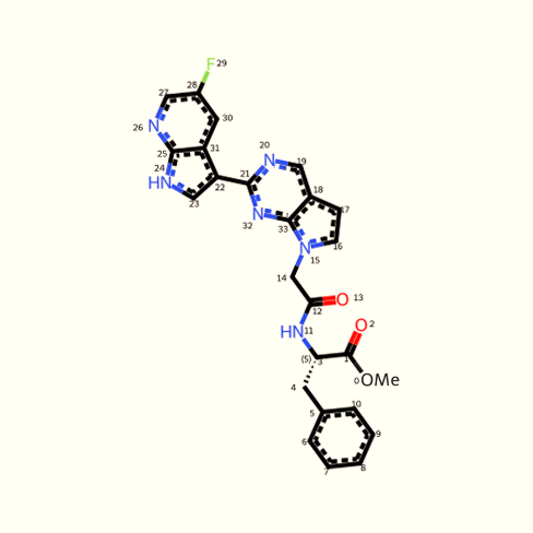 COC(=O)[C@H](Cc1ccccc1)NC(=O)Cn1ccc2cnc(-c3c[nH]c4ncc(F)cc34)nc21